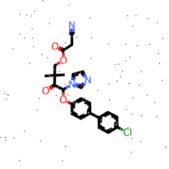 CC(C)(COC(=O)CC#N)C(=O)C(Oc1ccc(-c2ccc(Cl)cc2)cc1)n1ccnc1